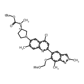 COCOc1c(-c2cc(Cl)c3cc(N4CC[C@@H](N(C)C(=O)OC(C)(C)C)C4)c(C)cc3n2)cc2cn(C)nc2c1C